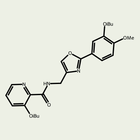 COc1ccc(-c2nc(CNC(=O)c3ncccc3OCC(C)C)co2)cc1OCC(C)C